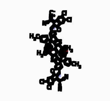 [C-]#[N+]/C(C#N)=C1/C(=C/c2cc3c(s2)-c2sc4c5nsnc5c5c6c7c(sc6c6nsnc6c5c4c2C3(c2ccc(C)cc2)c2ccc(C)cc2)-c2sc(/C=C3\C(=O)c4cc(Cl)c(Cl)cc4C3=C(C#N)C#N)cc2C7(c2ccc(C)cc2)c2ccc(C)cc2)C(=O)c2cc(Cl)c(Cl)cc21